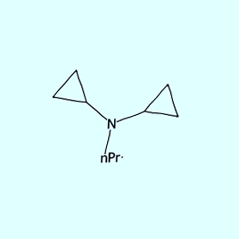 CC[CH]N(C1CC1)C1CC1